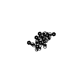 COC1C(OC)[C@H](C)[C@H](COOCc2ccccc2)O[C@@H]1O[C@@H]1C(COC(C)=O)O[C@@H](O[C@H]2C(C(=O)OCc3ccccc3)O[C@@H](O[C@@H]3C(COC(C)=O)OC(C)C(OCc4ccccc4)C3OC(C)=O)[C@@H](OC)C2OC)C(OCc2ccccc2)[C@H]1OC(C)=O